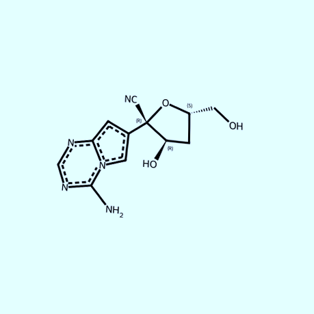 N#C[C@@]1(c2cc3ncnc(N)n3c2)O[C@H](CO)C[C@H]1O